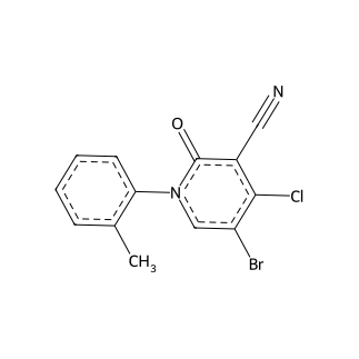 Cc1ccccc1-n1cc(Br)c(Cl)c(C#N)c1=O